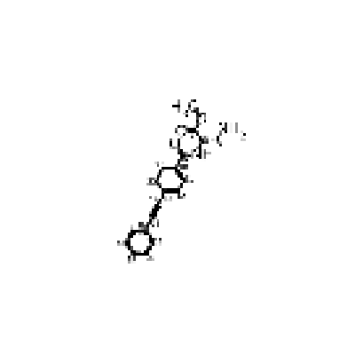 COC(=O)[C@H](CN)NC(=O)C1=CC=C(C#Cc2ccccc2)CC1